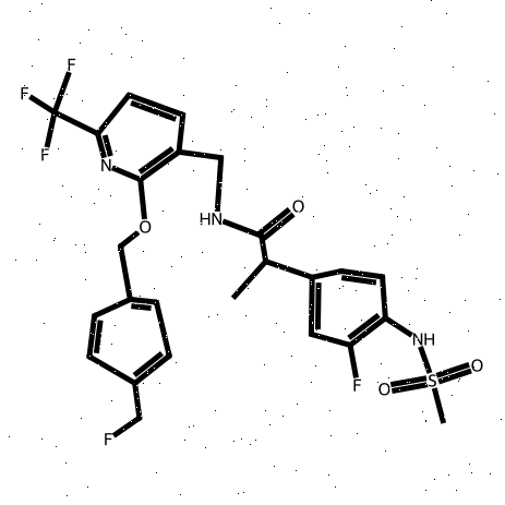 CC(C(=O)NCc1ccc(C(F)(F)F)nc1OCc1ccc(CF)cc1)c1ccc(NS(C)(=O)=O)c(F)c1